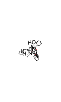 Nc1nnc(-c2ccccc2O)cc1N1CC2CCC(C1)N2c1ccnc(C#CCN2CCCC2)c1